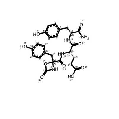 NC(=O)[C@H](Cc1ccc(O)cc1)NC(=O)[C@H](CCC(=O)O)NC(=O)[C@]1(Cc2ccc(O)cc2)NC(=O)O1